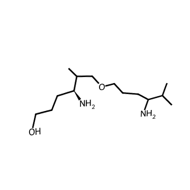 CC(C)C(N)CCCOCC(C)[C@@H](N)CCCO